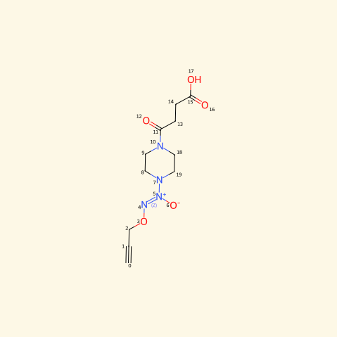 C#CCO/N=[N+](\[O-])N1CCN(C(=O)CCC(=O)O)CC1